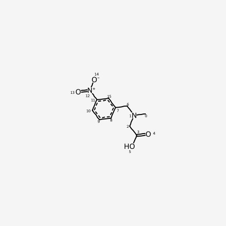 CN(CC(=O)O)Cc1cccc([N+](=O)[O-])c1